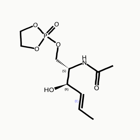 C/C=C/[C@@H](O)[C@H](COP1(=O)OCCO1)NC(C)=O